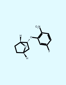 O=[N+]([O-])c1ccc(F)cc1O[C@@H]1C[C@@H]2CC[C@H]1O2